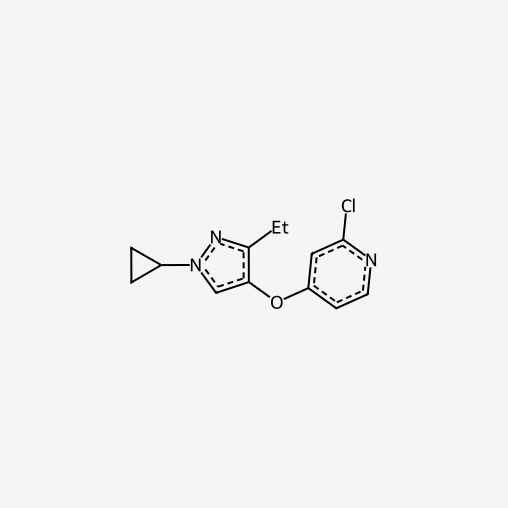 CCc1nn(C2CC2)cc1Oc1ccnc(Cl)c1